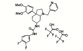 COc1ccc(C23CCC(NC(=O)Nc4ccc(F)c(F)c4)CC2N(Cc2cccnc2)CC3)cc1OC.O=C(O)C(F)(F)F.O=C(O)C(F)(F)F